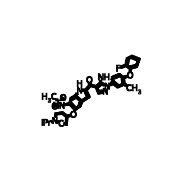 Cc1cc(-n2ncc(C(=O)c3cc4cc(OC5CCN(C(C)C)CC5)c(NS(C)(=O)=O)cc4[nH]3)c2N)ccc1Oc1ccccc1F